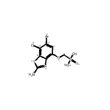 Nc1nc2c(OCP(=O)(O)O)cc(Br)c(Cl)c2s1